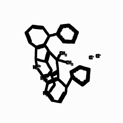 CCC1=C2C3=C(C=CC=CC3c3ccccc3)[CH]1[Hf+2][CH]1C3=C(C(=C1CC)C2(C)C)C(c1ccccc1)C=CC=C3.[Cl-].[Cl-]